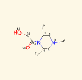 C[C@@H]1CN(C)C[C@H](C)N1C(=O)CO